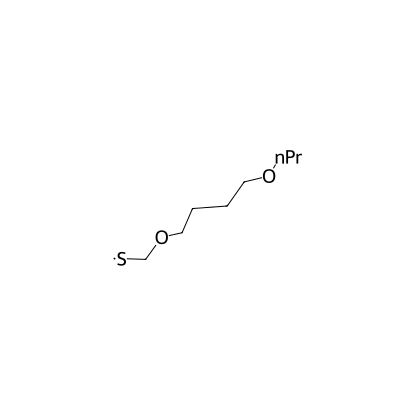 CCCOCCCCOC[S]